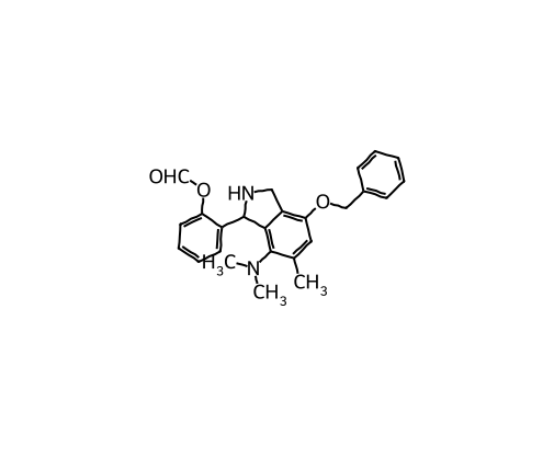 Cc1cc(OCc2ccccc2)c2c(c1N(C)C)C(c1ccccc1OC=O)NC2